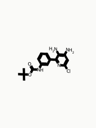 CC(C)(C)OC(=O)Nc1cccc(-c2nc(Cl)cc(N)c2N)c1